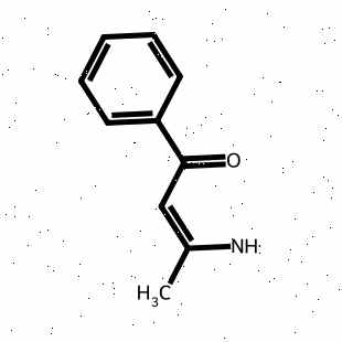 CC([NH])=CC(=O)c1ccccc1